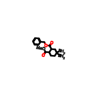 BC1(B)CCC(C(=O)OC)C(C(=O)OCc2ccccc2)C1